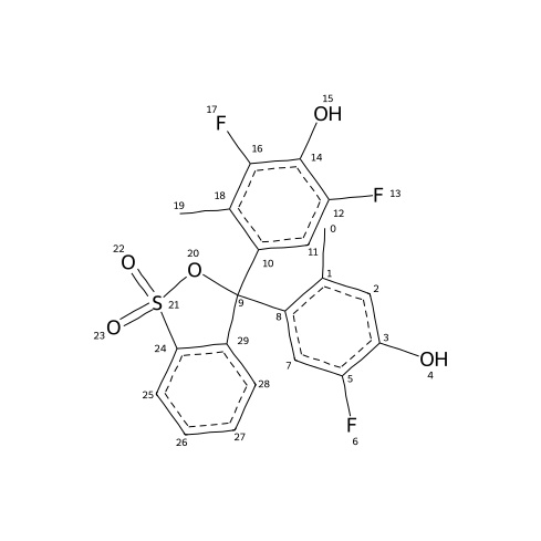 Cc1cc(O)c(F)cc1C1(c2cc(F)c(O)c(F)c2C)OS(=O)(=O)c2ccccc21